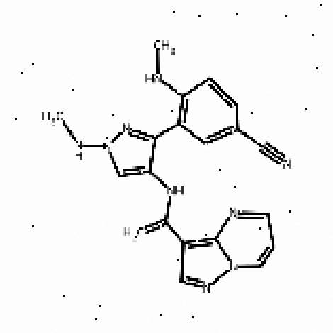 C=C(Nc1cn(NC)nc1-c1cc(C#N)ccc1NC)c1cnn2cccnc12